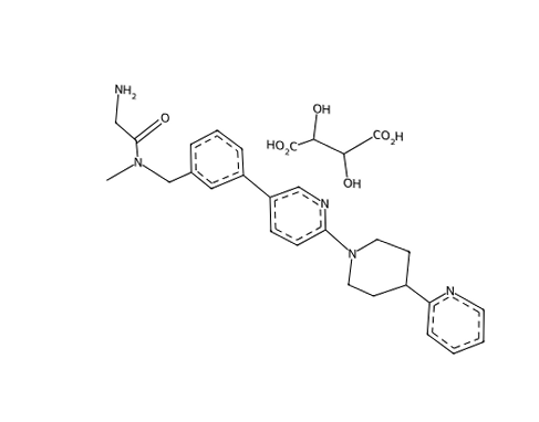 CN(Cc1cccc(-c2ccc(N3CCC(c4ccccn4)CC3)nc2)c1)C(=O)CN.O=C(O)C(O)C(O)C(=O)O